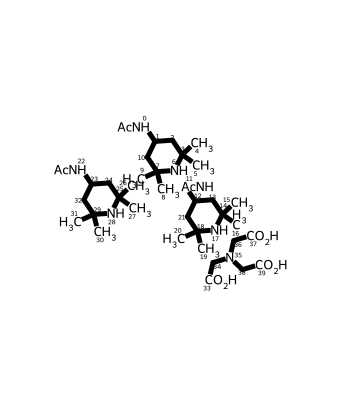 CC(=O)NC1CC(C)(C)NC(C)(C)C1.CC(=O)NC1CC(C)(C)NC(C)(C)C1.CC(=O)NC1CC(C)(C)NC(C)(C)C1.O=C(O)CN(CC(=O)O)CC(=O)O